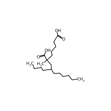 CCCCCCC(CCCC)CC(C)(CCCCC(=O)O)C(=O)O